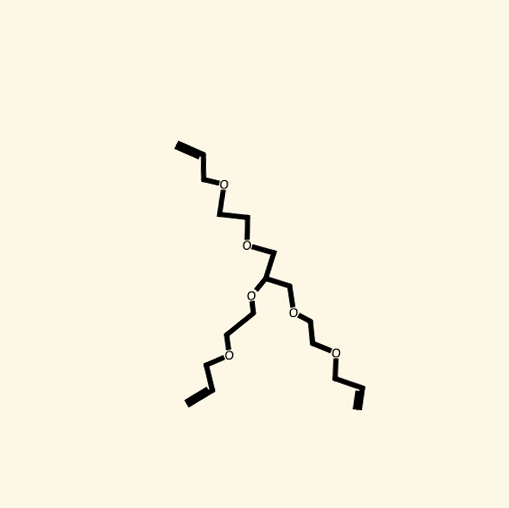 C=CCOCCOCC(COCCOCC=C)OCCOCC=C